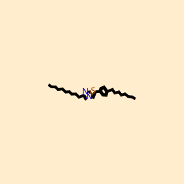 CCCCCCCCCCc1cn2cc(-c3ccc(CCCCCCCC)cc3)sc2n1